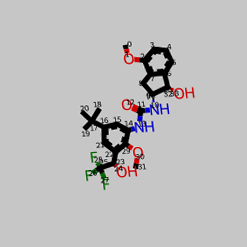 COc1cccc2c1C[C@@H](NC(=O)Nc1cc(C(C)(C)C)cc(C(O)C(F)(F)F)c1OC)[C@@H]2O